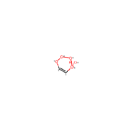 O.c1coooo1